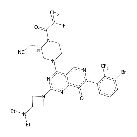 C=C(F)C(=O)N1CCN(c2nc(N3CC(N(CC)CC)C3)nc3c(=O)n(-c4cccc(Br)c4C(F)(F)F)ncc23)C[C@@H]1CC#N